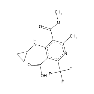 COC(=O)c1c(C)nc(C(F)(F)F)c(C(=O)O)c1NC1CC1